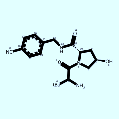 CC(C)(C)C(N)C(=O)N1C[C@H](O)C[C@H]1C(=O)NCc1ccc(C#N)cc1